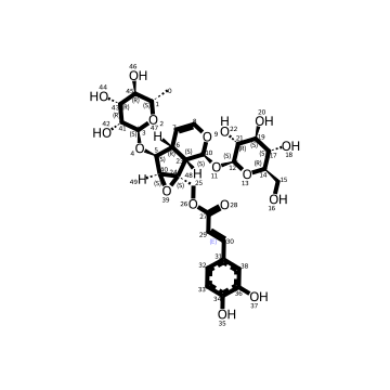 C[C@@H]1O[C@@H](O[C@H]2[C@@H]3C=CO[C@@H](O[C@@H]4O[C@H](CO)[C@@H](O)[C@H](O)[C@H]4O)[C@@H]3[C@@]3(COC(=O)/C=C/c4ccc(O)c(O)c4)O[C@@H]23)[C@H](O)[C@H](O)[C@H]1O